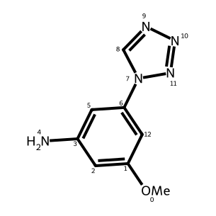 COc1cc(N)cc(-n2cnnn2)c1